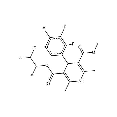 COC(=O)C1=C(C)NC(C)=C(C(=O)OC(F)C(F)F)C1c1ccc(F)c(F)c1F